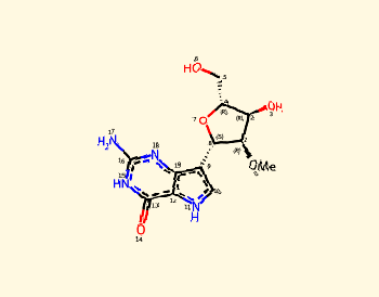 CO[C@@H]1[C@H](O)[C@@H](CO)O[C@H]1c1c[nH]c2c(=O)[nH]c(N)nc12